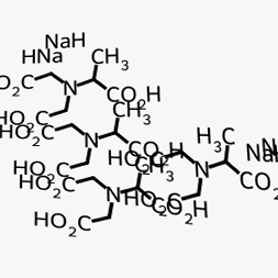 CC(C(=O)O)N(CC(=O)O)CC(=O)O.CC(C(=O)O)N(CC(=O)O)CC(=O)O.CC(C(=O)O)N(CC(=O)O)CC(=O)O.CC(C(=O)O)N(CC(=O)O)CC(=O)O.[NaH].[NaH].[NaH].[NaH]